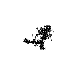 CCCC(=O)OCN(C(=O)[C@@H](NC(=O)[C@H]1CCCCCN1C)C(C)CC)[C@H](C[C@H](OC(C)=O)c1nc(C(=O)N[C@@H](Cc2ccc(O)cc2)C[C@H](C)C(=O)NNC(=O)OCCSSc2ccccn2)cs1)C(C)C